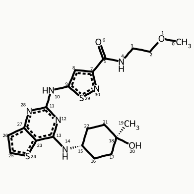 COCCNC(=O)c1cc(Nc2nc(N[C@H]3CC[C@](C)(O)CC3)c3sccc3n2)sn1